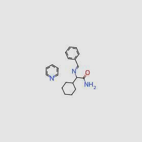 NC(=O)C(N=Cc1ccccc1)C1CCCCC1.c1ccncc1